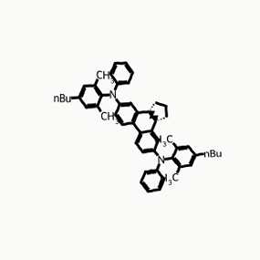 CCCCc1cc(C)c(N(c2ccccc2)c2ccc3c(c2)[C@]24CCC[C@]2(CCC4)c2cc(N(c4ccccc4)c4c(C)cc(CCCC)cc4C)ccc2-3)c(C)c1